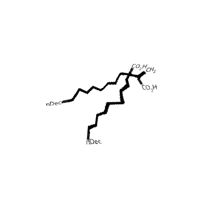 C=C(C(=O)O)C(CCCCCCCCCCCCCCCCCC)(CCCCCCCCCCCCCCCCCC)C(=O)O